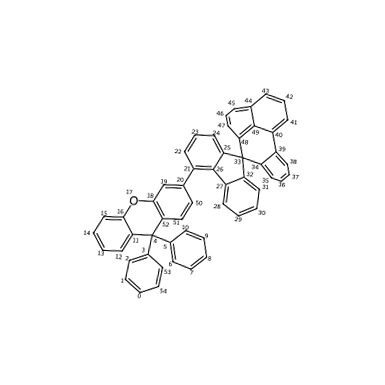 c1ccc(C2(c3ccccc3)c3ccccc3Oc3cc(-c4cccc5c4-c4ccccc4C54c5ccccc5-c5cccc6cccc4c56)ccc32)cc1